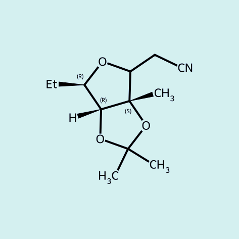 CC[C@H]1OC(CC#N)[C@]2(C)OC(C)(C)O[C@H]12